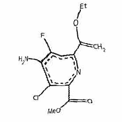 C=C(OCC)c1nc(C(=O)OC)c(Cl)c(N)c1F